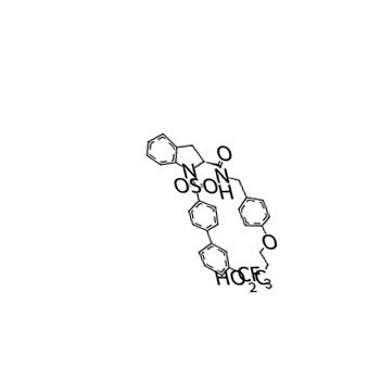 O=C(O)CCOc1ccc(CNC(=O)[C@@H]2Cc3ccccc3N2S(=O)(=O)c2ccc(-c3cccc(C(F)(F)F)c3)cc2)cc1